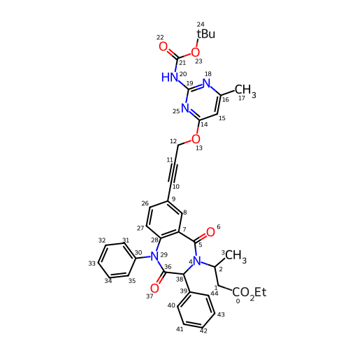 CCOC(=O)CC(C)N1C(=O)c2cc(C#CCOc3cc(C)nc(NC(=O)OC(C)(C)C)n3)ccc2N(c2ccccc2)C(=O)C1c1ccccc1